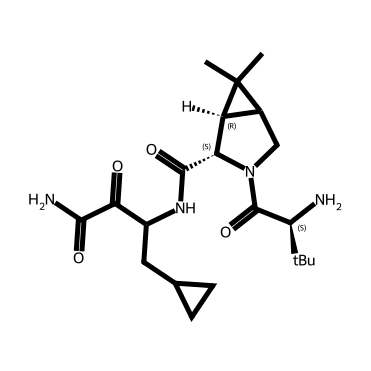 CC(C)(C)[C@H](N)C(=O)N1CC2[C@@H]([C@H]1C(=O)NC(CC1CC1)C(=O)C(N)=O)C2(C)C